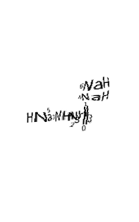 C=C.N.N.[NaH].[NaH].[NaH]